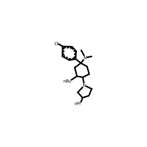 CCCCC1CC(c2ccc(Cl)cc2)(N(C)C)CCC1N1CCC(CCC)C1